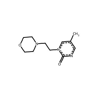 Cc1cnc(=O)n(CCN2CCOCC2)c1